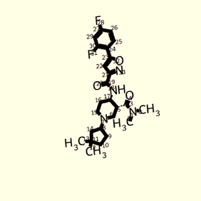 CN(C)C(=O)[C@@H]1CN(C2CCC(C)(C)C2)CC[C@H]1NC(=O)c1cc(-c2ccc(F)cc2F)on1